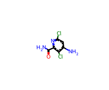 NC(=O)c1nc(Cl)cc(N)c1Cl